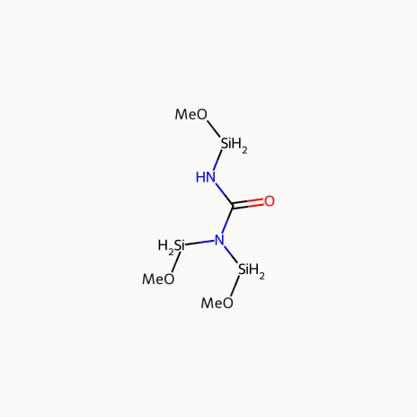 CO[SiH2]NC(=O)N([SiH2]OC)[SiH2]OC